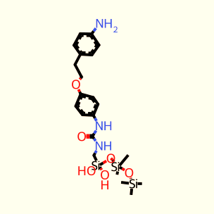 C[Si](C)(C)O[Si](C)(C)O[Si](O)(O)CNC(=O)Nc1ccc(OCCc2ccc(N)cc2)cc1